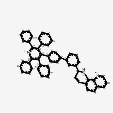 C1=CC(c2cccc(-c3ccc(-c4c(-c5ccccc5)c(-c5ccccc5)nc(-c5ccccc5)c4-c4ccccc4)cc3)c2)Nc2c1ccc1cccnc21